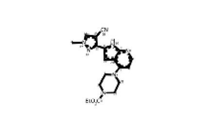 CCOC(=O)N1CCN(c2ccnc3[nH]c(-c4nn(C)cc4C#N)cc23)CC1